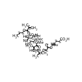 C=C(C)C(=O)O.C=C(C)C(=O)OC.C=CC(=O)OCCCC.C=CCOC(=O)C(=C)C.CCCCCCCCCCCCS.CCCCCCCCCCC[CH2][Na].O=C(O)CCS.O=S(=O)(O)O